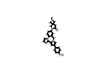 CN1CC2(CC(=O)N(c3ccc4c(c3)Cn3cc(-c5ccc(C#N)cc5)cc3-c3nccn3-4)C2)C1